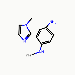 CCCNc1ccc(N)cc1.Cn1ccnc1